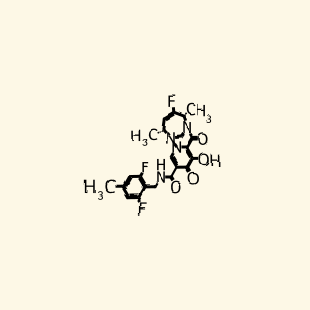 Cc1cc(F)c(CNC(=O)c2cn3c(c(O)c2=O)C(=O)N2CN3[C@H](C)C=C(F)[C@@H]2C)c(F)c1